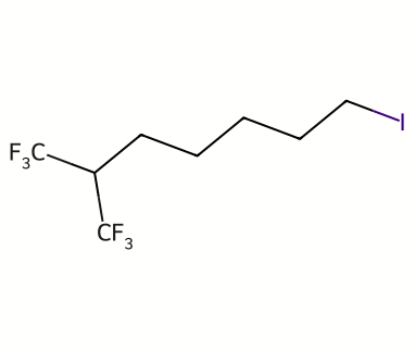 FC(F)(F)C(CCCCCI)C(F)(F)F